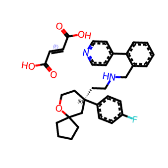 Fc1ccc([C@]2(CCNCc3ccccc3-c3ccncc3)CCOC3(CCCC3)C2)cc1.O=C(O)/C=C/C(=O)O